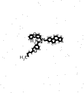 C=C/C=C\C=C1/Cc2cc(/C(N)=N/C(=N\Cc3ccc4c(ccc5c6ccccc6ccc45)c3)c3ccc4oc5ccccc5c4c3)ccc2O1